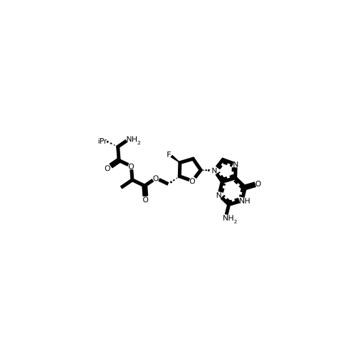 CC(OC(=O)[C@@H](N)C(C)C)C(=O)OC[C@H]1O[C@@H](n2cnc3c(=O)[nH]c(N)nc32)C[C@@H]1F